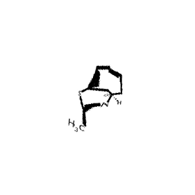 CC1=N[C@@H]2CC=CC=C2S1